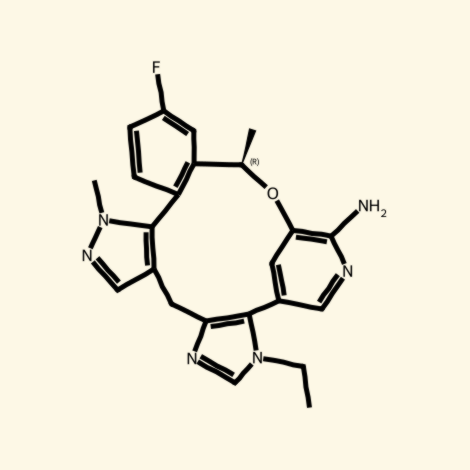 CCn1cnc2c1-c1cnc(N)c(c1)O[C@H](C)c1cc(F)ccc1-c1c(cnn1C)C2